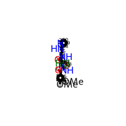 COc1ccc(C(=O)Nc2nc(C(=O)NCCNc3ccccn3)cs2)cc1OC.Cl